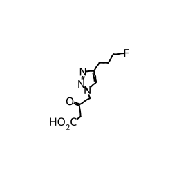 O=C(O)CC(=O)Cn1cc(CCCF)nn1